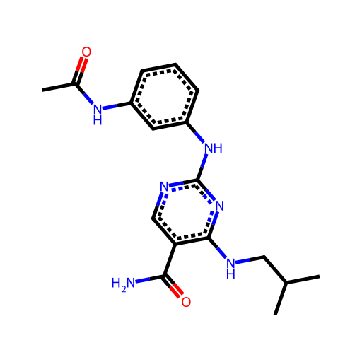 CC(=O)Nc1cccc(Nc2ncc(C(N)=O)c(NCC(C)C)n2)c1